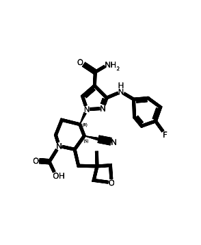 CC1(CC2[C@H](C#N)[C@H](n3cc(C(N)=O)c(Nc4ccc(F)cc4)n3)CCN2C(=O)O)COC1